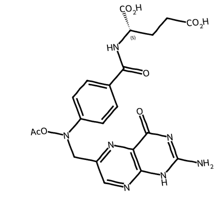 CC(=O)ON(Cc1cnc2[nH]c(N)nc(=O)c2n1)c1ccc(C(=O)N[C@@H](CCC(=O)O)C(=O)O)cc1